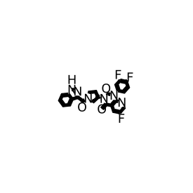 O=C(c1n[nH]c2ccccc12)N1CC[C@@H](n2c(=O)c3cc(F)cnc3n(-c3ccc(F)c(F)c3)c2=O)C1